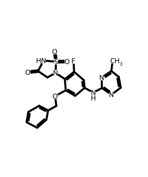 Cc1ccnc(Nc2cc(F)c(N3CC(=O)NS3(=O)=O)c(OCc3ccccc3)c2)n1